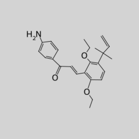 C=CC(C)(C)c1ccc(OCC)c(C=CC(=O)c2ccc(N)cc2)c1OCC